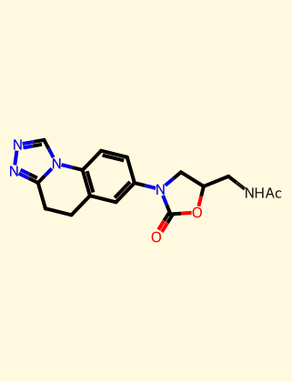 CC(=O)NCC1CN(c2ccc3c(c2)CCc2nncn2-3)C(=O)O1